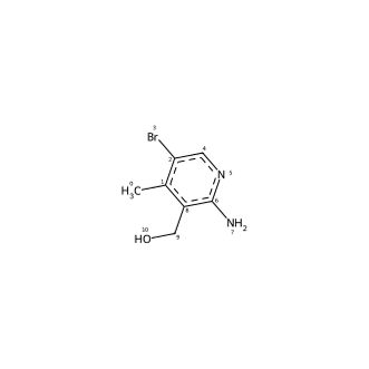 Cc1c(Br)cnc(N)c1CO